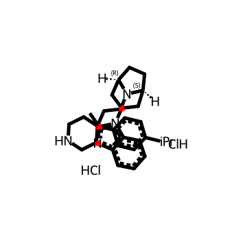 Cc1nc2ccccc2n1C1C[C@H]2CC[C@@H](C1)N2CCC1(c2ccc(C(C)C)cc2)CCNCC1.Cl.Cl